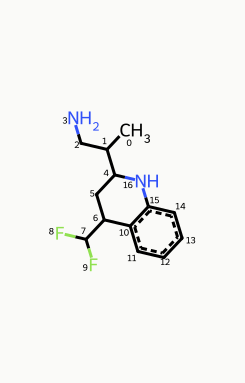 CC(CN)C1CC(C(F)F)c2ccccc2N1